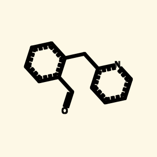 O=Cc1ccccc1Cc1ccccn1